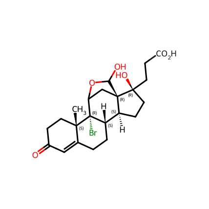 C[C@]12CCC(=O)C=C1CC[C@H]1[C@@H]3CC[C@@](O)(CCC(=O)O)[C@@]34CC(OC4O)[C@@]12Br